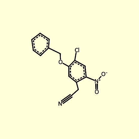 N#CCc1cc(OCc2ccccc2)c(Cl)cc1[N+](=O)[O-]